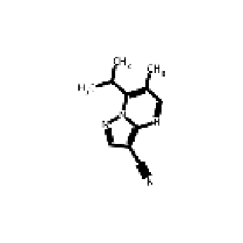 Cc1cnc2c(C#N)cnn2c1C(C)C